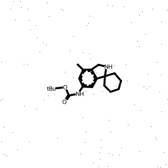 Cc1cc(NC(=O)OC(C)(C)C)cc2c1CNC21CCCCC1